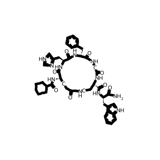 NC(=O)[C@H](Cc1c[nH]c2ccccc12)NC(=O)[C@@H]1CCNC(=O)CC[C@H](NC(=O)C2CCCCC2)C(=O)N[C@@H](Cc2c[nH]cn2)C(=O)N[C@H](Cc2ccccc2)C(=O)NCC(=O)N1